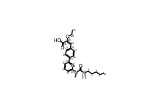 CCCCCNC(=O)N(C)c1cccc(-c2ccc(/C=C(/OCC)C(=O)O)cc2)n1